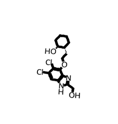 OCc1nc2c(OCC[C@H]3CCCC[C@@H]3O)c(Cl)c(Cl)cc2[nH]1